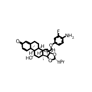 CCC[C@H]1O[C@@H]2C[C@H]3[C@@H]4CCC5=CC(=O)C=C[C@]5(C)[C@H]4[C@@H](O)C[C@]3(C)[C@]2(C(=O)COc2ccc(N)c(F)c2)O1